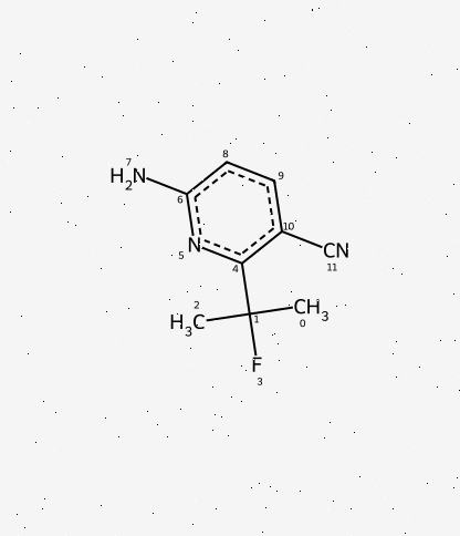 CC(C)(F)c1nc(N)ccc1C#N